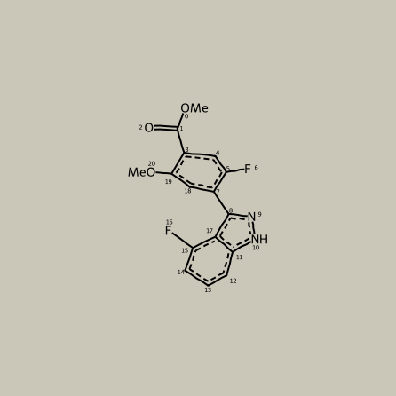 COC(=O)c1cc(F)c(-c2n[nH]c3cccc(F)c23)cc1OC